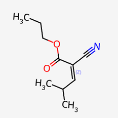 CCCOC(=O)/C(C#N)=C\C(C)C